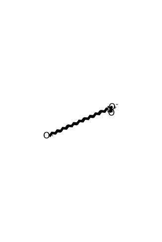 O=[C]CCC=CCC=CCC=CCC=CCC=CCC=CCC[N+](=O)[O-]